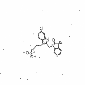 O=C1N(Cc2nc3cc(Cl)ccc3n2CCC2CS(O)(O)C2)c2cnccc2C12CC2